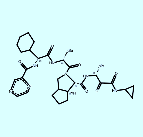 CCC[C@@H](NC(=O)[C@@H]1[C@H]2CCCC2CN1C(=O)[C@H](NC(=O)[C@H](NC(=O)c1cnccn1)C1CCCCC1)C(C)(C)C)C(=O)C(=O)NC1CC1